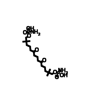 CC(C)(CCCC(=O)CCCC(=O)CCCC(C)(C)COP(N)(=O)O)COP(N)(=O)O